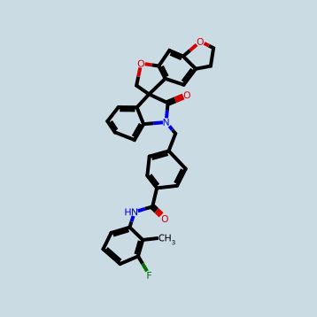 Cc1c(F)cccc1NC(=O)c1ccc(CN2C(=O)C3(COc4cc5c(cc43)CCO5)c3ccccc32)cc1